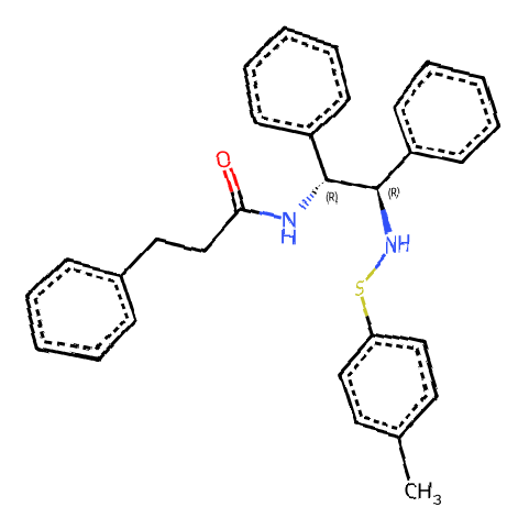 Cc1ccc(SN[C@H](c2ccccc2)[C@H](NC(=O)CCc2ccccc2)c2ccccc2)cc1